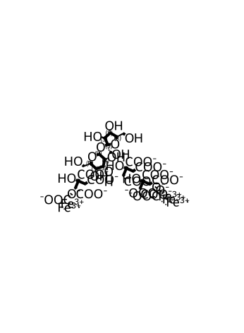 O=C([O-])CC(O)(CC(=O)[O-])C(=O)[O-].O=C([O-])CC(O)(CC(=O)[O-])C(=O)[O-].O=C([O-])CC(O)(CC(=O)[O-])C(=O)[O-].O=C([O-])[O-].O=C([O-])[O-].O=C([O-])[O-].OC[C@H]1O[C@@](CO)(O[C@H]2O[C@H](CO)[C@@H](O)[C@H](O)[C@H]2O)[C@@H](O)[C@@H]1O.[Fe+3].[Fe+3].[Fe+3].[Fe+3].[Fe+3]